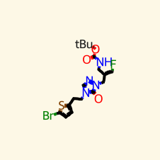 CC(C)(C)OC(=O)NC/C(=C\F)Cn1ncn(CCc2ccc(Br)s2)c1=O